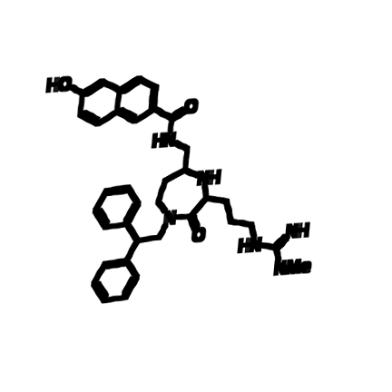 CNC(=N)NCCCC1NC(CNC(=O)c2ccc3cc(O)ccc3c2)CCN(CC(c2ccccc2)c2ccccc2)C1=O